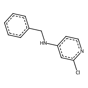 Clc1cc(NCc2ccccc2)ccn1